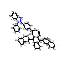 C1#Cc2c(c(-c3ccc4ccccc4c3)c3ccccc3c2-c2ccc3ccccc3c2)C=C(c2ccc(-c3nc4ccccc4n3-c3ccccc3)cc2)C1